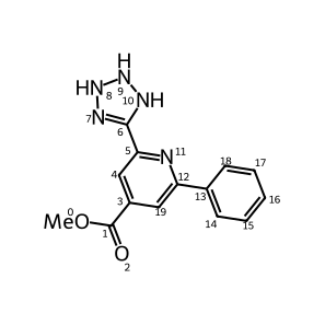 COC(=O)c1cc(C2=NNNN2)nc(-c2ccccc2)c1